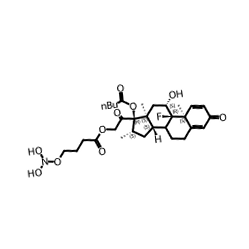 CCCCC(=O)O[C@]1(C(=O)COC(=O)CCCON(O)O)[C@@H](C)C[C@H]2C3CCC4=CC(=O)C=C[C@]4(C)[C@@]3(F)[C@@H](O)C[C@@]21C